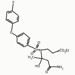 CCOC(=O)CCN(C(C)(O)CC(N)=O)S(=O)(=O)c1ccc(Oc2ccc(F)cc2)cc1